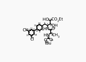 CCOC(=O)C(O)C(O)C(Cc1ccc(-c2cc(Cl)cc(Cl)c2)cc1)NC(=O)[C@H](C)NC(=O)OC(C)(C)C